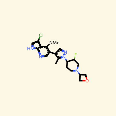 CNc1c(-c2cnn(C3CCN(C4COC4)C[C@@H]3F)c2C)cnc2[nH]cc(Cl)c12